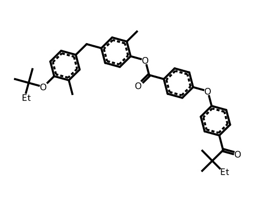 CCC(C)(C)Oc1ccc(Cc2ccc(OC(=O)c3ccc(Oc4ccc(C(=O)C(C)(C)CC)cc4)cc3)c(C)c2)cc1C